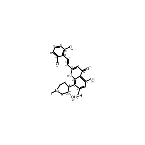 CN1CCC(c2c(O)cc(O)c3c(=O)cc(/C=C/c4c(Cl)cccc4Cl)oc23)[C@H](O)C1